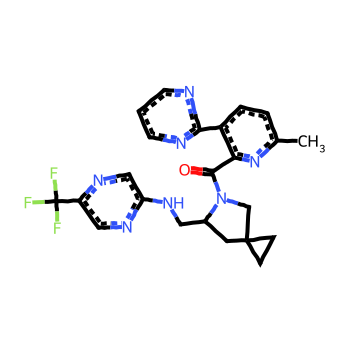 Cc1ccc(-c2ncccn2)c(C(=O)N2CC3(CC3)CC2CNc2cnc(C(F)(F)F)cn2)n1